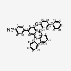 N#Cc1ccc(-c2cc3c4c(c2)-n2c5ccccc5c5cccc(c52)B4c2cc(-c4ccccc4)ccc2O3)cc1